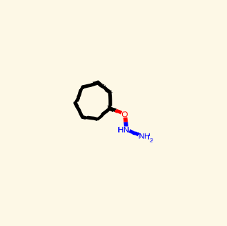 NNOC1[CH]CCCCC1